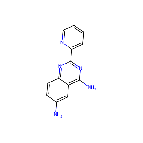 Nc1ccc2nc(-c3ccccn3)nc(N)c2c1